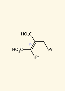 CC(C)C/C(C(=O)O)=C(/C(=O)O)C(C)C